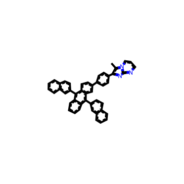 Cc1c(-c2ccc(-c3ccc4c(-c5ccc6ccccc6c5)c5ccccc5c(-c5ccc6ccccc6c5)c4c3)cc2)nc2ncccn12